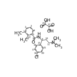 Cc1cccc(C(=O)NC(CCN(C)C)c2ccc(Cl)cc2)c1C.O=C(O)C(=O)O